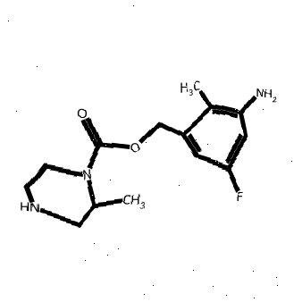 Cc1c(N)cc(F)cc1COC(=O)N1CCNCC1C